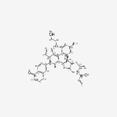 C=CC(=O)N1Cc2cc(-c3nc(-c4ccc5c(c4)CCNC5=O)c4ccsc4c3-c3c(F)cc(F)cc3OCCO)nn2C[C@H]1C